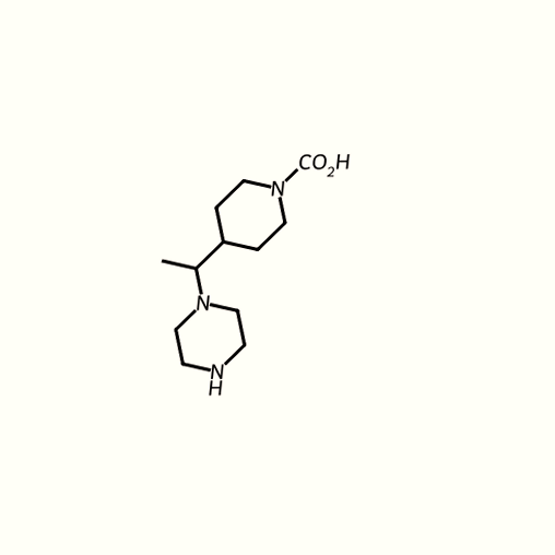 CC(C1CCN(C(=O)O)CC1)N1CCNCC1